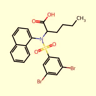 CCCCC(C(=O)O)N(c1cccc2ccccc12)S(=O)(=O)c1cc(Br)cc(Br)c1